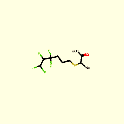 CCCCC(SCCCC(F)(F)C(F)C(F)F)C(=O)OCC(C)C